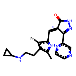 Cc1[nH]c(/C=C2/C(=O)NN=C2c2cnccn2)c(C(C)C)c1CCNC1CC1